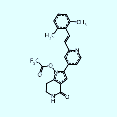 Cc1cccc(C)c1C=Cc1cc(-c2cc3c(n2OC(=O)C(F)(F)F)CCNC3=O)ccn1